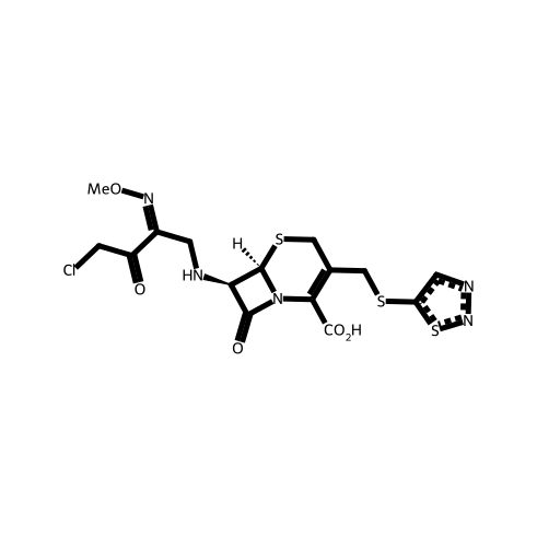 CO/N=C(/CN[C@@H]1C(=O)N2C(C(=O)O)=C(CSc3cnns3)CS[C@H]12)C(=O)CCl